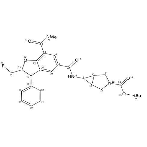 CNC(=O)c1cc(C(=O)NC2C3CN(C(=O)OC(C)(C)C)CC32)cc2c1OC(CF)[C@H]2c1ccccc1